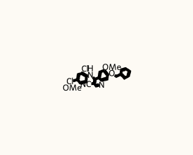 COc1cc(Nc2c(C#N)cnc3cc(OCc4ccccc4)c(OC)cc23)c(Cl)cc1Cl